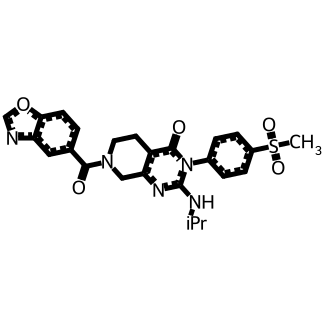 CC(C)Nc1nc2c(c(=O)n1-c1ccc(S(C)(=O)=O)cc1)CCN(C(=O)c1ccc3ocnc3c1)C2